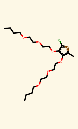 CCCCOCCOCCOc1c(C)sc(Br)c1OCCOCCOCCCC